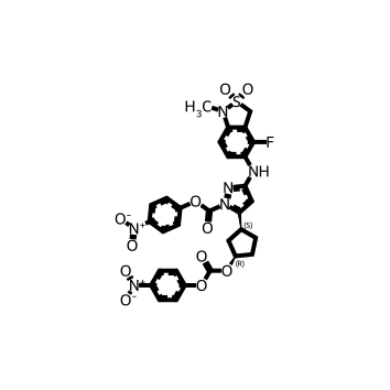 CN1c2ccc(Nc3cc([C@H]4CC[C@@H](OC(=O)Oc5ccc([N+](=O)[O-])cc5)C4)n(C(=O)Oc4ccc([N+](=O)[O-])cc4)n3)c(F)c2CS1(=O)=O